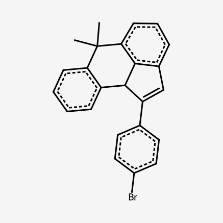 CC1(C)c2ccccc2C2C(c3ccc(Br)cc3)=Cc3cccc1c32